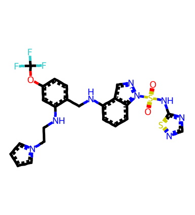 O=S(=O)(Nc1ncns1)n1ncc2c(NCc3ccc(OC(F)(F)F)cc3NCCn3cccc3)cccc21